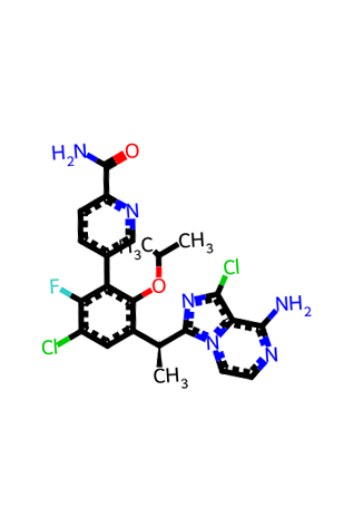 CC(C)Oc1c([C@H](C)c2nc(Cl)c3c(N)nccn23)cc(Cl)c(F)c1-c1ccc(C(N)=O)nc1